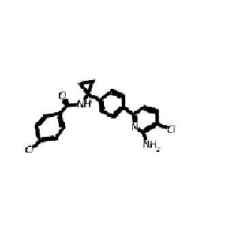 Nc1nc(-c2ccc(C3(NC(=O)c4ccc(Cl)cc4)CC3)cc2)ccc1Cl